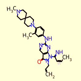 C=CCn1c(=O)c2cnc(Nc3ccc(N4CCC5(CCN(C)CC5)CC4)c(C)c3)nc2n1C(=N)/C=C\C